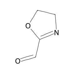 O=CC1=NCCO1